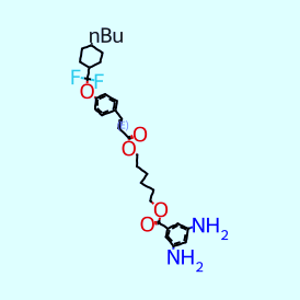 CCCCC1CCC(C(F)(F)Oc2ccc(/C=C/C(=O)OCCCCCCOC(=O)c3cc(N)cc(N)c3)cc2)CC1